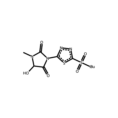 CCC(C)S(=O)(=O)c1nnc(N2C(=O)C(O)N(C)C2=O)s1